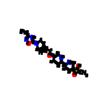 CC(C)c1noc(N2CC3[C@@H](COc4ccc(-c5ccc(S(C)(=O)=O)cn5)nc4)[C@@H]3C2)n1